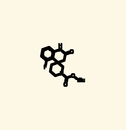 CC(C)(C)OC(=O)N1CCCC2(CC(=O)Nc3cccc(F)c32)C1